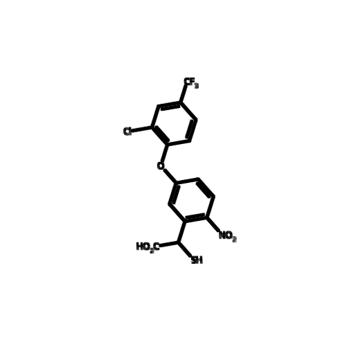 O=C(O)C(S)c1cc(Oc2ccc(C(F)(F)F)cc2Cl)ccc1[N+](=O)[O-]